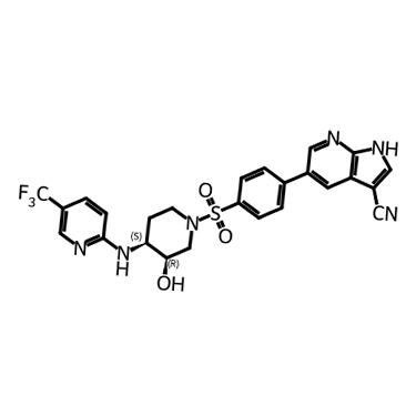 N#Cc1c[nH]c2ncc(-c3ccc(S(=O)(=O)N4CC[C@H](Nc5ccc(C(F)(F)F)cn5)[C@H](O)C4)cc3)cc12